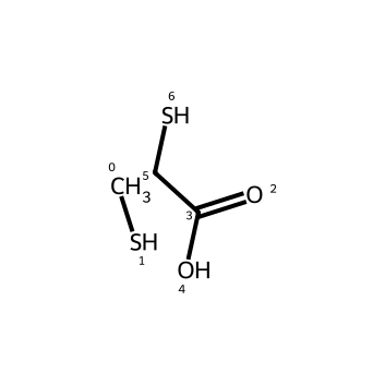 CS.O=C(O)CS